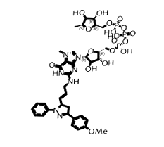 COc1ccc(C2=NN(c3ccccc3)C(C=CCNc3nc4c(c(=O)[nH]3)[n+](C)cn4[C@@H]3O[C@H](COP(=O)(O)OP(=O)(O)OP(=O)(O)OC[C@H]4O[C@@H](C)C(O)[C@H]4O)[C@H](O)C3O)C2)cc1